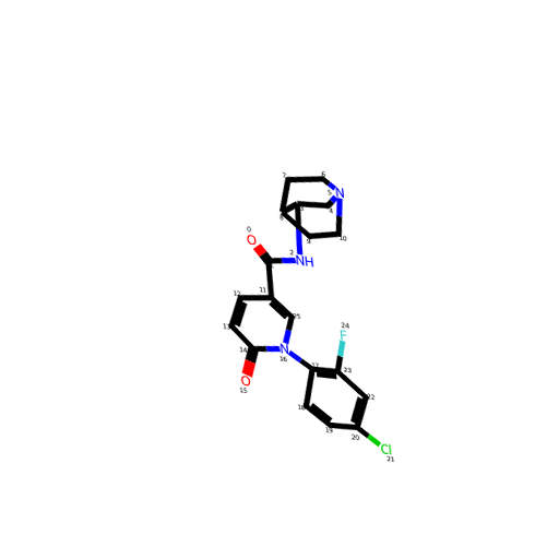 O=C(NC1CN2CCC1CC2)c1ccc(=O)n(-c2ccc(Cl)cc2F)c1